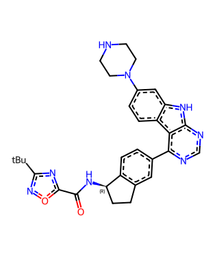 CC(C)(C)c1noc(C(=O)N[C@@H]2CCc3cc(-c4ncnc5[nH]c6cc(N7CCNCC7)ccc6c45)ccc32)n1